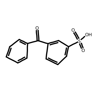 O=C(c1ccccc1)c1cccc(S(=O)(=O)O)c1